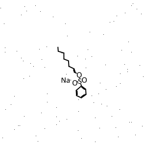 CCCCCCC=COS(=O)(=O)c1ccccc1.[Na]